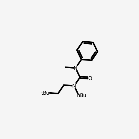 CCCCN(CCC(C)(C)C)C(=O)N(C)c1ccccc1